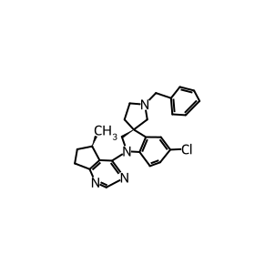 C[C@@H]1CCc2ncnc(N3C[C@]4(CCN(Cc5ccccc5)C4)c4cc(Cl)ccc43)c21